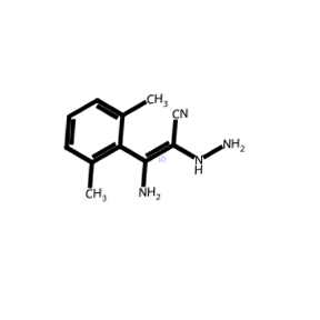 Cc1cccc(C)c1/C(N)=C(\C#N)NN